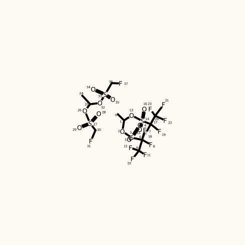 CC(OS(=O)(=O)C(F)(F)C(F)(F)F)OS(=O)(=O)C(F)(F)C(F)(F)F.CC(OS(=O)(=O)CF)OS(=O)(=O)CF